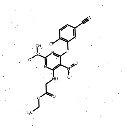 CCOC(=O)CNc1nc([S+](C)[O-])nc(Oc2cc(C#N)ccc2Cl)c1[N+](=O)[O-]